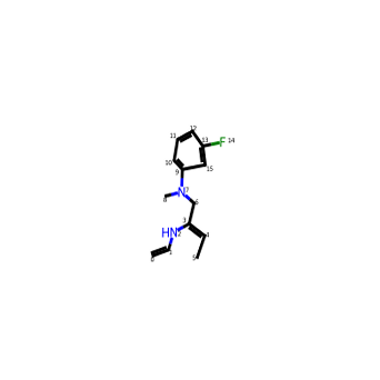 C=CN/C(=C\C)CN(C)c1cccc(F)c1